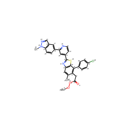 CCCCOOC(=O)Cc1c(C)cc2nc(-c3ccnc(-c4ccc5c(cnn5CC)c4)c3)sc2c1-c1ccc(Cl)cc1